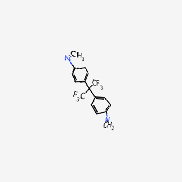 C=Nc1ccc(C(C2=CCC(N=C)C=C2)(C(F)(F)F)C(F)(F)F)cc1